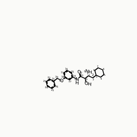 N[C@H](CC1CCCCC1)C(O)C(=O)Nc1cccc(OCc2ccccc2)c1